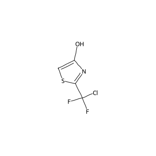 Oc1csc(C(F)(F)Cl)n1